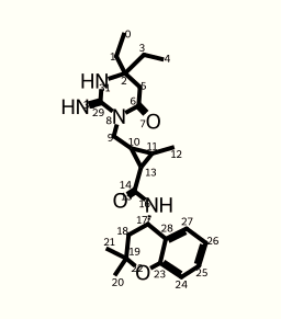 CCC1(CC)CC(=O)N(CC2C(C)C2C(=O)N[C@H]2CC(C)(C)Oc3ccccc32)C(=N)N1